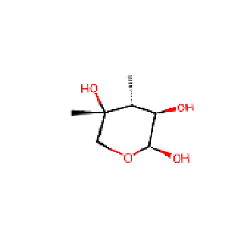 C[C@@H]1[C@@H](O)[C@@H](O)OC[C@]1(C)O